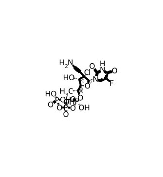 C[C@@H](OP(=O)(O)OP(=O)(O)OP(=O)(O)O)[C@H]1O[C@@H](n2cc(F)c(=O)[nH]c2=O)C(Cl)(C#CN)[C@H]1O